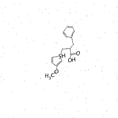 COC1=C[SH](CC(Cc2ccccc2)C(=O)O)C=C1